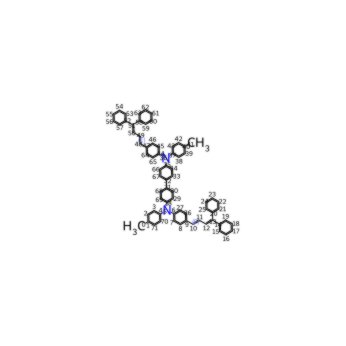 Cc1ccc(N(c2ccc(/C=C/C=C(c3ccccc3)c3ccccc3)cc2)c2ccc(-c3ccc(N(c4ccc(C)cc4)c4ccc(/C=C/C=C(c5ccccc5)c5ccccc5)cc4)cc3)cc2)cc1